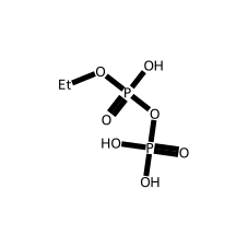 CCOP(=O)(O)OP(=O)(O)O